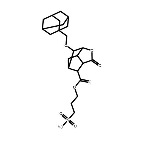 O=C(OCCCS(=O)(=O)O)C1C2CC3C(OC(=O)C31)C2OCC12CC3CC(CC(C3)C1)C2